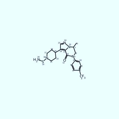 CC1CN(c2ccc(C(F)(F)F)cc2)C(=O)c2c(C3CCN(SN)CC3)cnn21